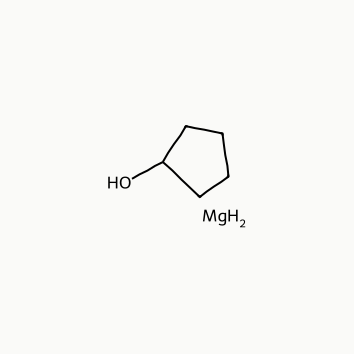 OC1CCCC1.[MgH2]